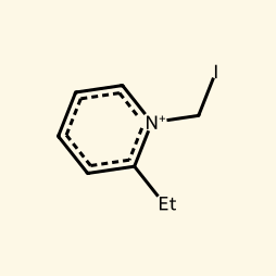 CCc1cccc[n+]1CI